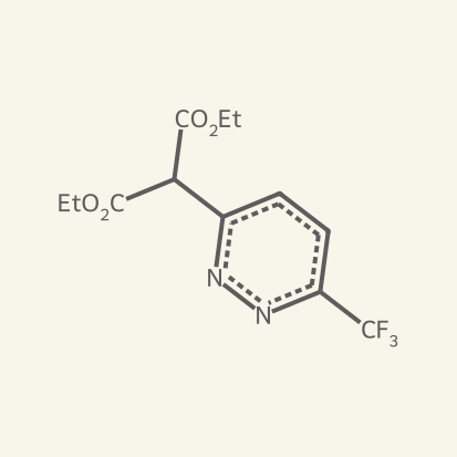 CCOC(=O)C(C(=O)OCC)c1ccc(C(F)(F)F)nn1